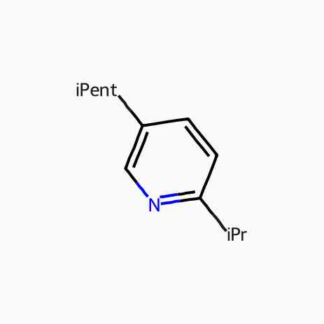 CCCC(C)c1ccc(C(C)C)nc1